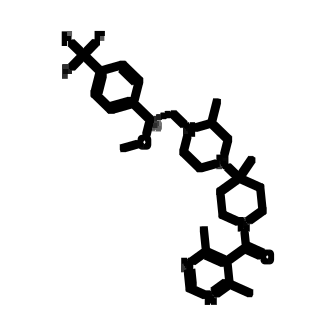 CO[C@@H](CN1CCN(C2(C)CCN(C(=O)c3c(C)ncnc3C)CC2)CC1C)c1ccc(C(F)(F)F)cc1